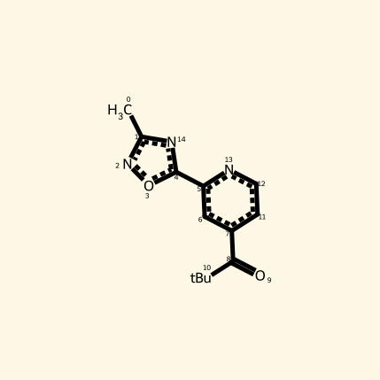 Cc1noc(-c2cc(C(=O)C(C)(C)C)ccn2)n1